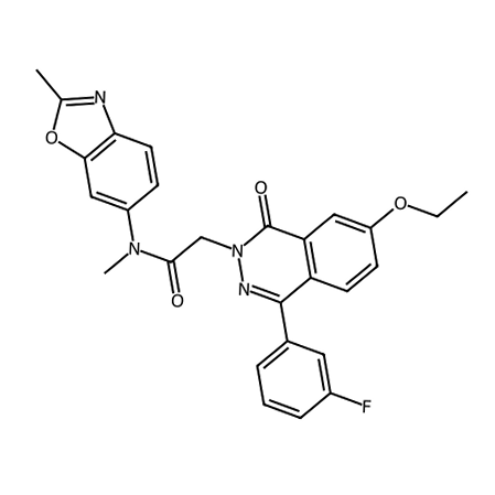 CCOc1ccc2c(-c3cccc(F)c3)nn(CC(=O)N(C)c3ccc4nc(C)oc4c3)c(=O)c2c1